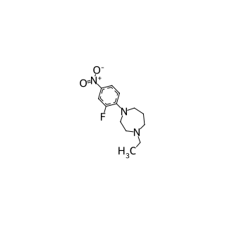 CCN1CCCN(c2ccc([N+](=O)[O-])cc2F)CC1